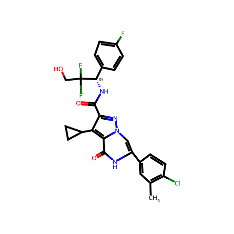 Cc1cc(-c2cn3nc(C(=O)N[C@@H](c4ccc(F)cc4)C(F)(F)CO)c(C4CC4)c3c(=O)[nH]2)ccc1Cl